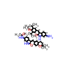 CC(=O)Nc1ccc2c(c1)NC(=O)/C2=C\c1ccc2c(c1)CCC(C)(C)O2.COc1c(C(C)C)cc(/C=C2\C(=O)Nc3cc(N)ccc32)cc1C(C)C